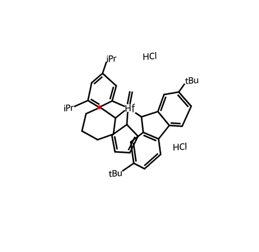 Cl.Cl.[CH2]=[Hf]([c]1cc(C(C)C)cc(C(C)C)c1)([CH]1C=CC=C1)([CH]1CCCCC1)[CH]1c2cc(C(C)(C)C)ccc2-c2ccc(C(C)(C)C)cc21